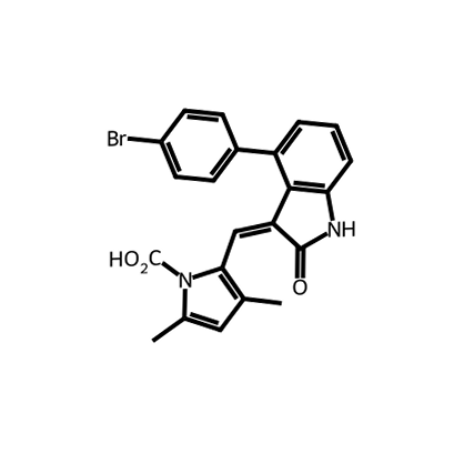 Cc1cc(C)n(C(=O)O)c1C=C1C(=O)Nc2cccc(-c3ccc(Br)cc3)c21